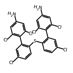 Nc1cc(Cl)c(-c2cc(Cl)ccc2Sc2ccc(Cl)cc2-c2c(Cl)cc(N)cc2Cl)c(Cl)c1